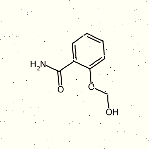 NC(=O)c1ccccc1OCO